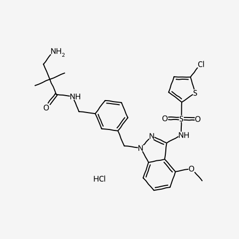 COc1cccc2c1c(NS(=O)(=O)c1ccc(Cl)s1)nn2Cc1cccc(CNC(=O)C(C)(C)CN)c1.Cl